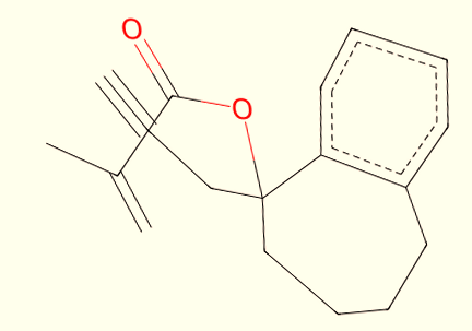 C#CCC1(OC(=O)C(=C)C)CCCCc2ccccc21